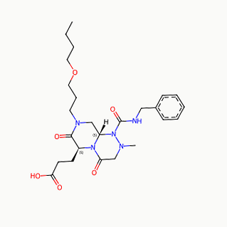 CCCCOCCCN1C[C@H]2N(C(=O)CN(C)N2C(=O)NCc2ccccc2)[C@@H](CCC(=O)O)C1=O